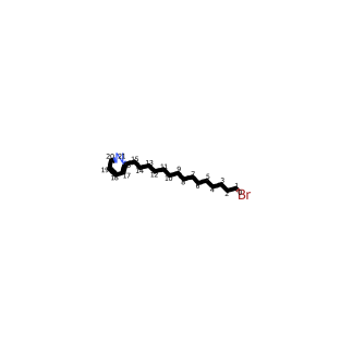 BrCCCCCCCCCCCCCCCc1ccccn1